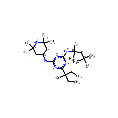 CCC(C)(CC)c1nc(NC2CC(C)(C)NC(C)(C)C2)nc(NC(C)(C)CC(C)(C)C)n1